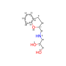 OCC(O)CNCC1CCc2ccccc2O1